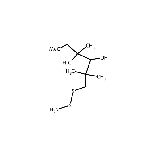 COCC(C)(C)C(O)C(C)(C)CSSN